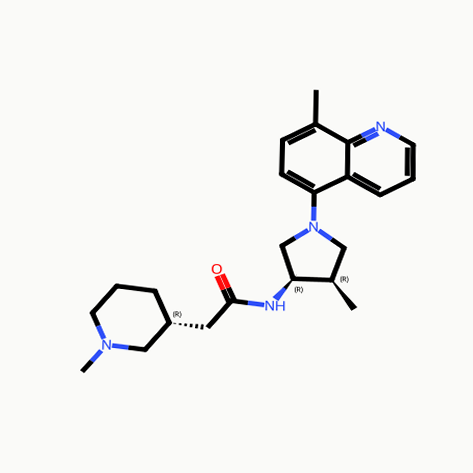 Cc1ccc(N2C[C@@H](C)[C@@H](NC(=O)C[C@H]3CCCN(C)C3)C2)c2cccnc12